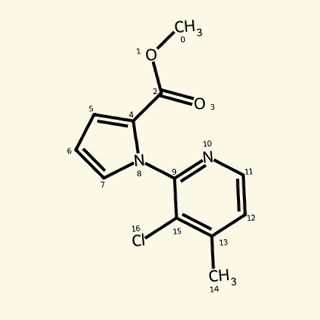 COC(=O)c1cccn1-c1nccc(C)c1Cl